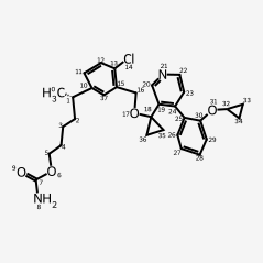 C[C@@H](CCCCOC(N)=O)c1ccc(Cl)c(COC2(c3cnccc3-c3ccccc3OC3CC3)CC2)c1